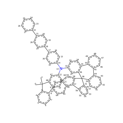 CC1(C)c2ccccc2-c2ccc(N(c3ccc(-c4ccc(-c5ccccc5)cc4)cc3)c3ccc4c(c3)C3(c5ccccc5-c5ccccc5-4)c4ccccc4-c4c3ccc3ccccc43)cc21